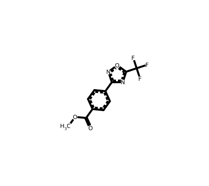 COC(=O)c1ccc(-c2noc(C(F)(F)F)n2)cc1